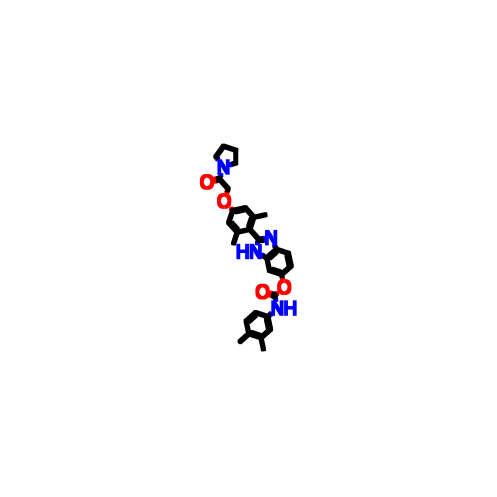 Cc1ccc(NC(=O)Oc2ccc3nc(-c4c(C)cc(OCC(=O)N5CCCC5)cc4C)[nH]c3c2)cc1C